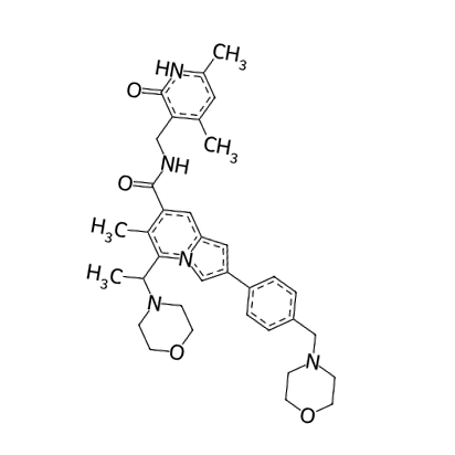 Cc1cc(C)c(CNC(=O)c2cc3cc(-c4ccc(CN5CCOCC5)cc4)cn3c(C(C)N3CCOCC3)c2C)c(=O)[nH]1